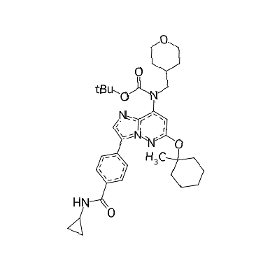 CC(C)(C)OC(=O)N(CC1CCOCC1)c1cc(OC2(C)CCCCC2)nn2c(-c3ccc(C(=O)NC4CC4)cc3)cnc12